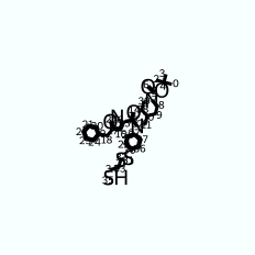 CC(C)(C)OC(=O)N1CCC(CN(C(=O)c2cc(Cc3ccccc3)on2)c2ccc(SSCCS)cc2)CC1